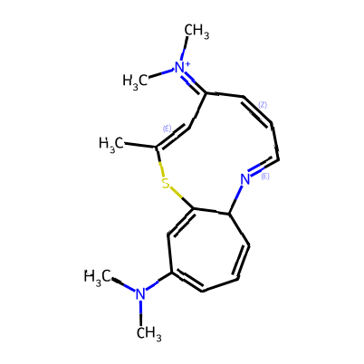 C/C1=C\C(=[N+](C)C)/C=C\C=N\C2C=CC=C(N(C)C)C=C2S1